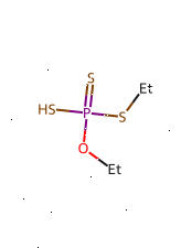 CCOP(=S)(S)SCC